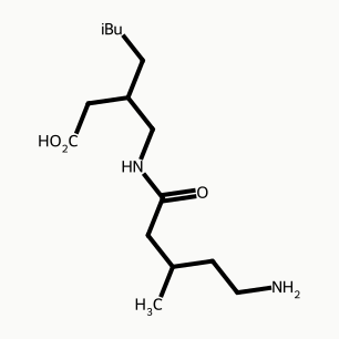 CCC(C)CC(CNC(=O)CC(C)CCN)CC(=O)O